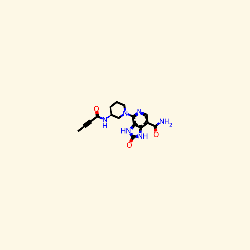 CC#CC(=O)N[C@H]1CCCN(c2ncc(C(N)=O)c3[nH]c(=O)[nH]c23)C1